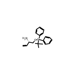 C=C[C@H](N)CO[Si](c1ccccc1)(c1ccccc1)C(C)(C)C